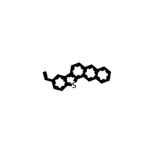 C=Cc1ccc2sc3c4cc5ccccc5cc4ccc3c2c1